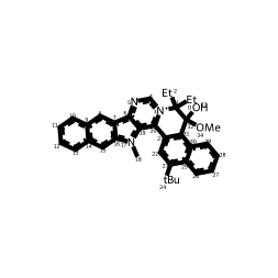 CCC1(CC)[n+]2cnc3c4cc5ccccc5cc4n(C)c3c2-c2cc(C(C)(C)C)c3ccccc3c2C1(O)OC